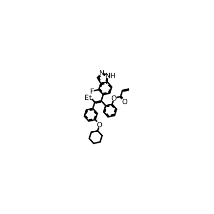 C=CC(=O)Oc1ccccc1/C(=C(/CC)c1cccc(OC2CCCCC2)c1)c1ccc2[nH]ncc2c1F